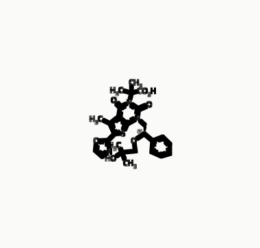 Cc1c(-c2ncco2)sc2c1c(=O)n(C(C)(C)C(=O)O)c(=O)n2C[C@@H](OCC(C)(C)O)c1ccccc1